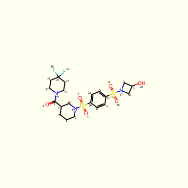 O=C(C1CCCN(S(=O)(=O)c2ccc(S(=O)(=O)N3CC(O)C3)cc2)C1)N1CCC(F)(F)CC1